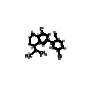 CC(C)N1CCOc2c(F)cc(-c3nc(Cl)ncc3F)cc21